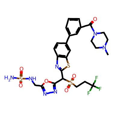 CN1CCN(C(=O)c2cccc(-c3ccc4nc(C(c5nnc(CNS(N)(=O)=O)o5)S(=O)(=O)CCC(F)(F)F)sc4c3)c2)CC1